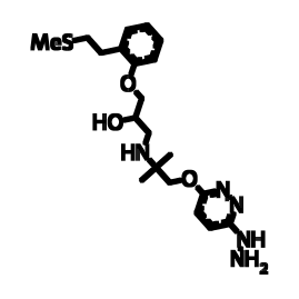 CSCCc1ccccc1OCC(O)CNC(C)(C)COc1ccc(NN)nn1